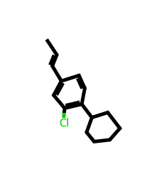 CC=Cc1ccc(C2CCCCC2)c(Cl)c1